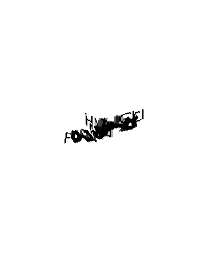 Fc1ccc(N2CCN(c3cnc4c(-c5cccc(Cl)c5Cl)n[nH]c4n3)CC2)cc1